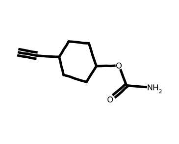 C#CC1CCC(OC(N)=O)CC1